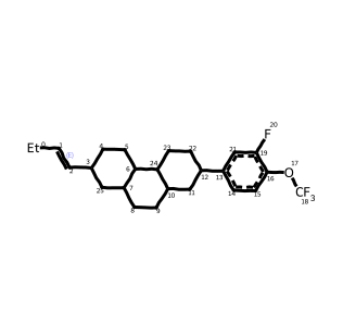 CC/C=C/C1CCC2C(CCC3CC(c4ccc(OC(F)(F)F)c(F)c4)CCC32)C1